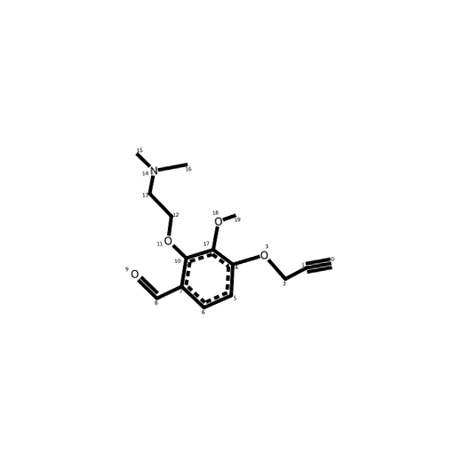 C#CCOc1ccc(C=O)c(OCCN(C)C)c1OC